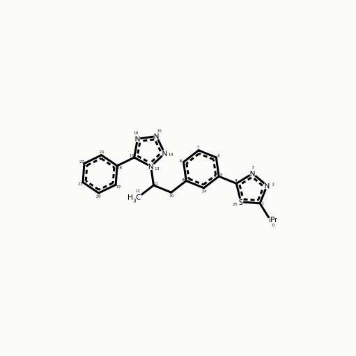 CC(C)c1nnc(-c2cccc(CC(C)n3nnnc3-c3ccccc3)c2)s1